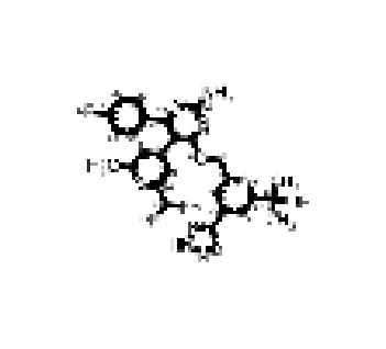 Cc1cc(-c2c(OCc3cc(-c4nn[nH]n4)cc(C(C)(C)O)n3)nc(N)nc2-c2ccc(F)cc2)cc(C(F)F)n1